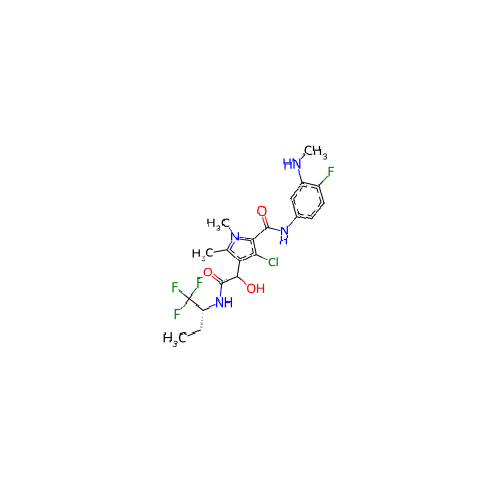 CC[C@@H](NC(=O)C(O)c1c(Cl)c(C(=O)Nc2ccc(F)c(NC)c2)n(C)c1C)C(F)(F)F